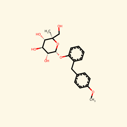 COc1ccc(Cc2ccccc2O[C@H]2O[C@](C)(CO)[C@@H](O)[C@H](O)[C@H]2O)cc1